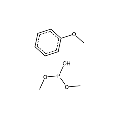 COP(O)OC.COc1ccccc1